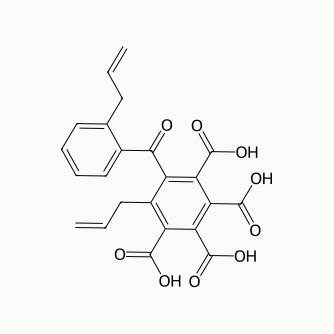 C=CCc1ccccc1C(=O)c1c(CC=C)c(C(=O)O)c(C(=O)O)c(C(=O)O)c1C(=O)O